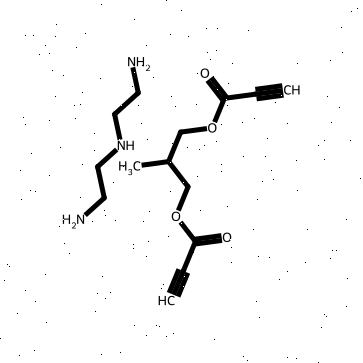 C#CC(=O)OCC(C)COC(=O)C#C.NCCNCCN